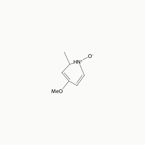 COC1=CC(C)[NH+]([O-])C=C1